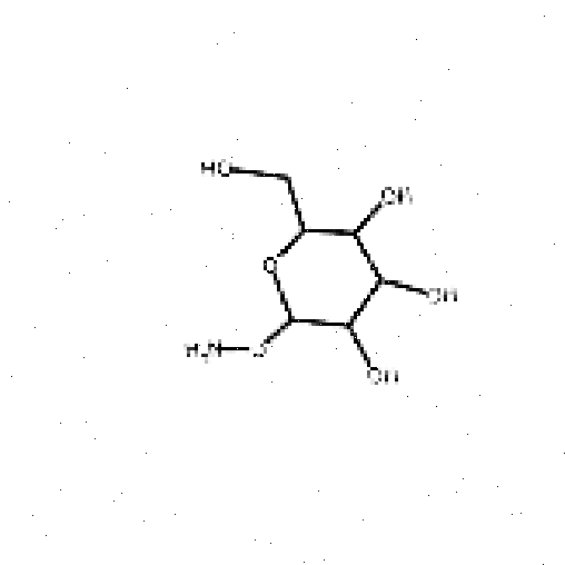 NOC1OC(CO)C(O)C(O)C1O